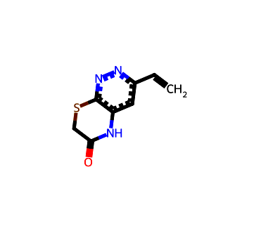 C=Cc1cc2c(nn1)SCC(=O)N2